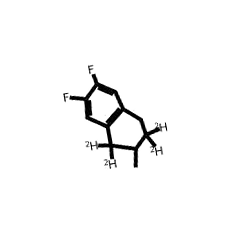 [2H]C1([2H])Cc2cc(F)c(F)cc2C([2H])([2H])C1C